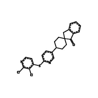 O=C1c2ccccc2CC12CCC(c1ccc(Sc3ccnc(Cl)c3Cl)nc1)CC2